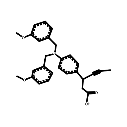 CC#CC(CC(=O)O)c1ccc(N(Cc2cccc(OC)c2)Cc2cccc(OC)c2)cc1